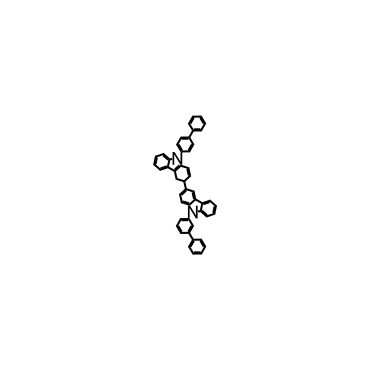 C1=CC(c2ccc3c(c2)c2ccccc2n3-c2cccc(-c3ccccc3)c2)Cc2c1n(-c1ccc(-c3ccccc3)cc1)c1ccccc21